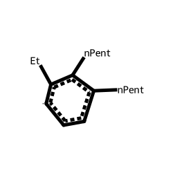 CCCCCc1cc[c]c(CC)c1CCCCC